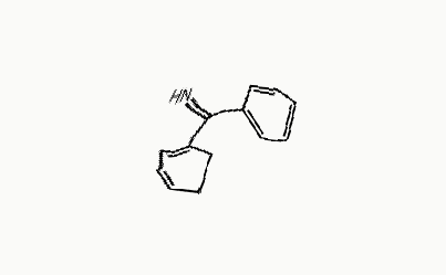 N=C(C1=CC=CCC1)c1ccccc1